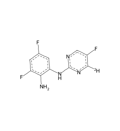 [2H]c1nc(Nc2cc(F)cc(F)c2N)ncc1F